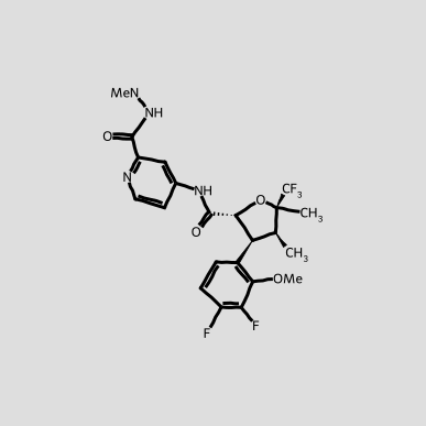 CNNC(=O)c1cc(NC(=O)[C@@H]2O[C@@](C)(C(F)(F)F)[C@@H](C)[C@H]2c2ccc(F)c(F)c2OC)ccn1